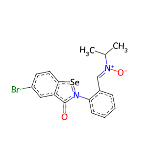 CC(C)[N+]([O-])=Cc1ccccc1-n1[se]c2ccc(Br)cc2c1=O